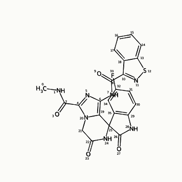 CNC(=O)c1nc(NC(=O)c2nsc3ccccc23)c2n1CC(=O)NC21C(=O)Nc2ccc(F)cc21